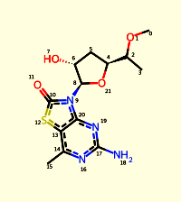 COC(C)[C@@H]1C[C@@H](O)[C@H](n2c(=O)sc3c(C)nc(N)nc32)O1